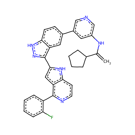 C=C(Nc1cncc(-c2ccc3[nH]nc(-c4cc5c(-c6ccccc6F)nccc5[nH]4)c3c2)c1)C1CCCC1